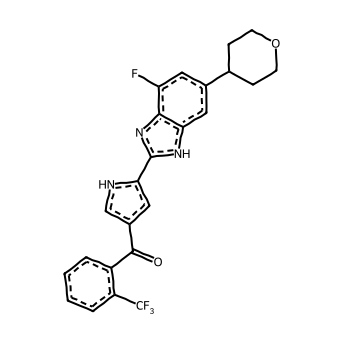 O=C(c1c[nH]c(-c2nc3c(F)cc(C4CCOCC4)cc3[nH]2)c1)c1ccccc1C(F)(F)F